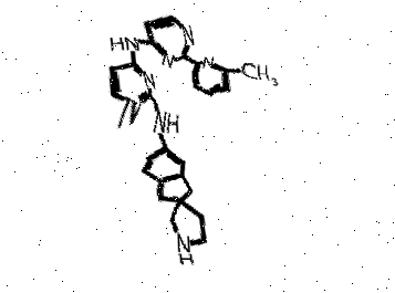 Cc1cccc(-c2nccc(Nc3ccnc(Nc4ccc5c(c4)CC4(CCNC4)C5)n3)n2)n1